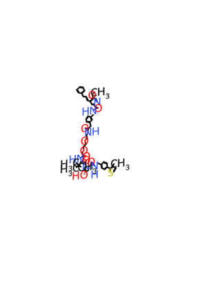 COc1cnc(C(=O)NCc2cccc(CC(=O)NCCOCCOCC(=O)N[C@H](C(=O)N3C[C@H](O)C[C@H]3C(=O)NCc3ccc(-c4sccc4C)cc3)C(C)(C)C)c2)cc1/C=C/Cc1ccccc1